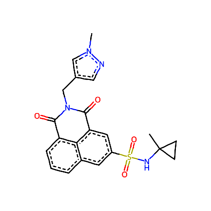 Cn1cc(CN2C(=O)c3cccc4cc(S(=O)(=O)NC5(C)CC5)cc(c34)C2=O)cn1